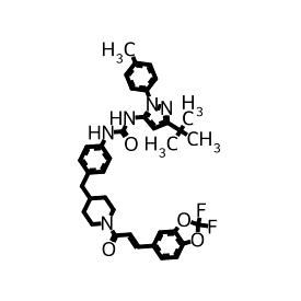 Cc1ccc(-n2nc(C(C)(C)C)cc2NC(=O)Nc2ccc(CC3CCN(C(=O)C=Cc4ccc5c(c4)OC(F)(F)O5)CC3)cc2)cc1